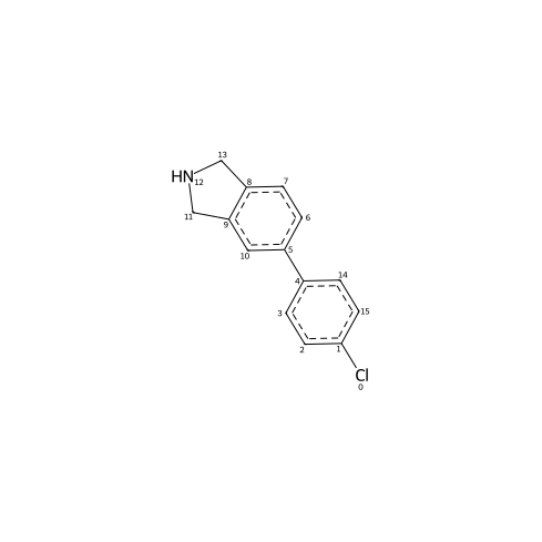 Clc1ccc(-c2ccc3c(c2)CNC3)cc1